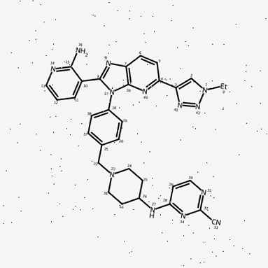 CCn1cc(-c2ccc3nc(-c4cccnc4N)n(-c4ccc(CN5CCC(Nc6ccnc(C#N)n6)CC5)cc4)c3n2)nn1